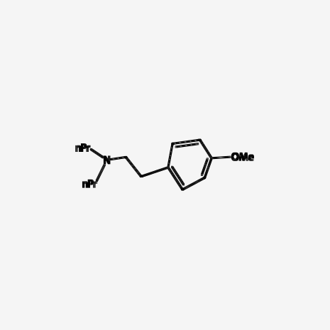 CCCN(CCC)CCc1ccc(OC)cc1